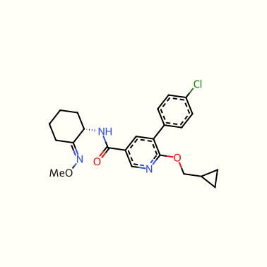 CON=C1CCCC[C@@H]1NC(=O)c1cnc(OCC2CC2)c(-c2ccc(Cl)cc2)c1